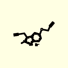 C#CCOc1ccc2[se][n+](C)c(CC#C)c2c1.[Br-]